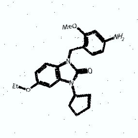 CCOc1ccc2c(c1)n(C1CCCC1)c(=O)n2Cc1ccc(N)cc1OC